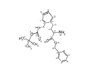 CC(C)(C)OC(=O)NCc1ccccc1CCC(N)C(=O)OCc1ccccc1